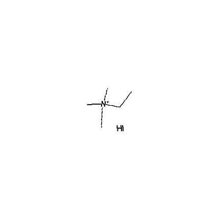 CC[N+](C)(C)C.I